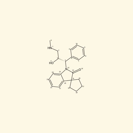 CNCC(O)[C@H](c1ccccc1)N1C(=O)C2(CCCC2)c2ccccc21